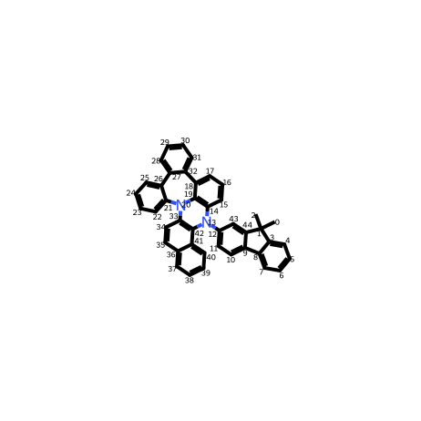 CC1(C)c2ccccc2-c2ccc(N3c4cccc5c4N(c4ccccc4-c4ccccc4-5)c4ccc5ccccc5c43)cc21